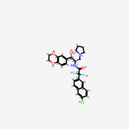 O=C(N[C@H](CN1CCCC1)[C@H](O)c1ccc2c(c1)OCCO2)C(F)(F)c1ccc2cc(Cl)ccc2c1